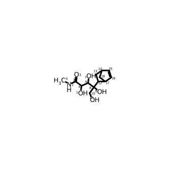 CNC(=O)C(O)C(O)C(O)(CO)C1CC2C=CC1C2